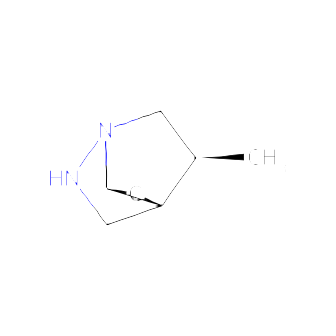 C[C@@H]1CN2NCC13CC23